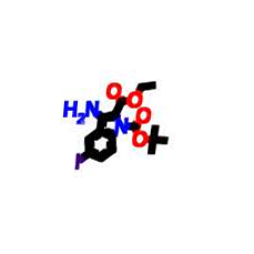 CCOC(=O)c1c(N)c2cc(I)ccc2n1C(=O)OC(C)(C)C